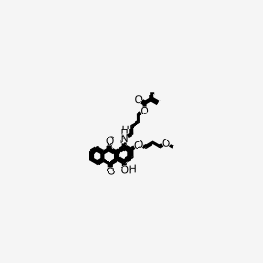 C=C(C)C(=O)OCCCCNc1c(OCCCOC)cc(O)c2c1C(=O)c1ccccc1C2=O